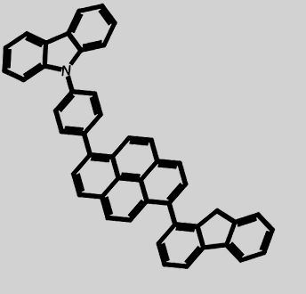 c1ccc2c(c1)Cc1c-2cccc1-c1ccc2ccc3c(-c4ccc(-n5c6ccccc6c6ccccc65)cc4)ccc4ccc1c2c43